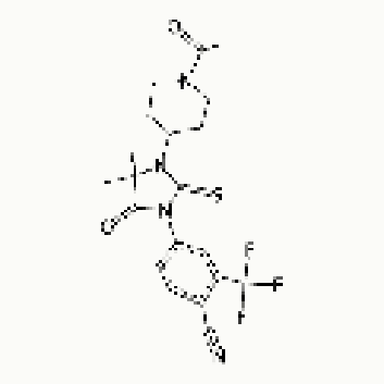 CC(=O)N1CCC(N2C(=S)N(c3ccc(C#N)c(C(F)(F)F)c3)C(=O)C2(C)C)CC1